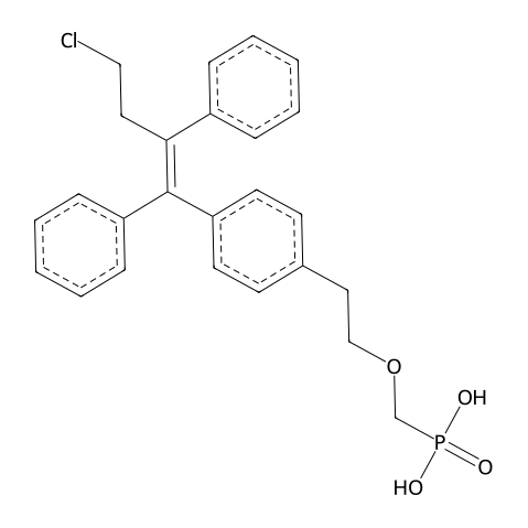 O=P(O)(O)COCCc1ccc(/C(=C(/CCCl)c2ccccc2)c2ccccc2)cc1